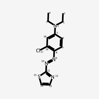 CCN(CC)c1ccc(N=Nc2nccs2)c(Cl)c1